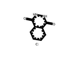 O=c1[nH][nH]c(=O)c2ccccc12.[C]